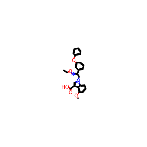 CCON=C(Cn1cc(C(=O)O)c2c(OC)cccc21)c1cccc(Oc2ccccc2)c1